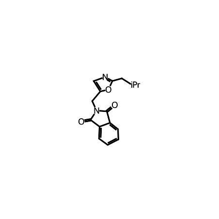 CC(C)Cc1ncc(CN2C(=O)c3ccccc3C2=O)o1